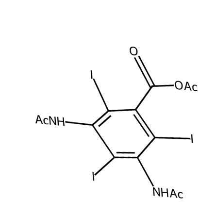 CC(=O)Nc1c(I)c(NC(C)=O)c(I)c(C(=O)OC(C)=O)c1I